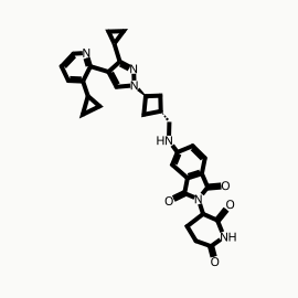 O=C1CCC(N2C(=O)c3ccc(NC[C@H]4C[C@H](n5cc(-c6ncccc6C6CC6)c(C6CC6)n5)C4)cc3C2=O)C(=O)N1